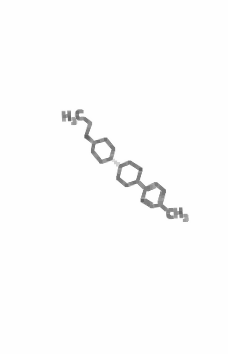 CCC[C@H]1CC[C@H](C2CCC(c3ccc(C)cc3)CC2)CC1